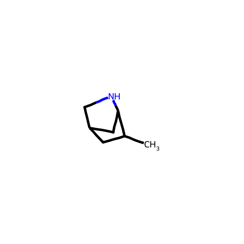 CC1CC2CNC1C2